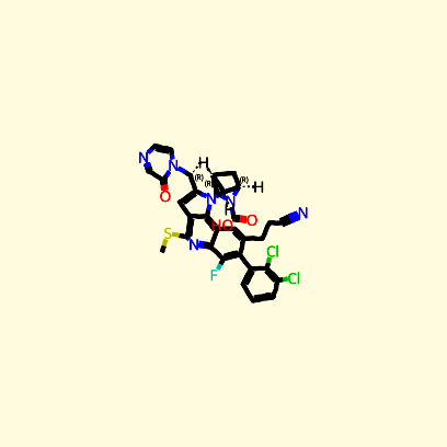 CSc1nc2c(F)c(-c3cccc(Cl)c3Cl)c(CCC#N)cc2c2c1cc([C@@H](C)n1ccncc1=O)n2[C@H]1[C@@H]2C[C@H]1N(C(=O)O)C2